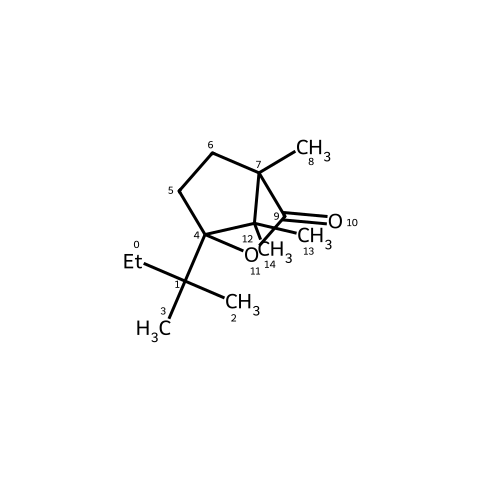 CCC(C)(C)C12CCC(C)(C(=O)O1)C2(C)C